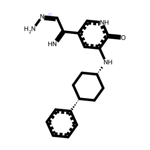 N=C(/C=N\N)c1c[nH]c(=O)c(N[C@H]2CC[C@@H](c3ccccc3)CC2)c1